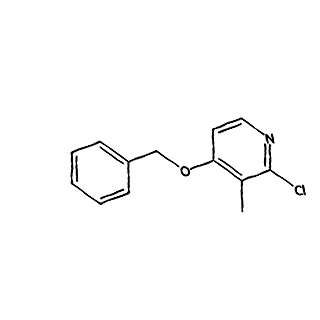 Cc1c(OCc2ccccc2)ccnc1Cl